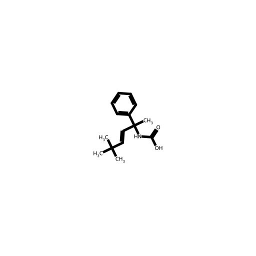 CC(C)(C)C=CC(C)(NC(=O)O)c1ccccc1